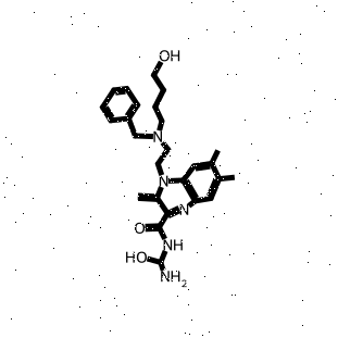 C=C1C(C(=O)NC(N)O)=Nc2cc(C)c(C)cc2N1CCN(CCCCO)Cc1ccccc1